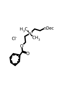 CCCCCCCCCCCC[N+](C)(C)CCOC(=O)c1ccccc1.[Cl-]